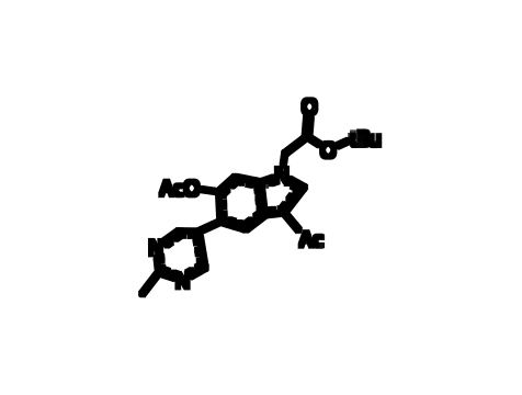 CC(=O)Oc1cc2c(cc1-c1cnc(C)nc1)c(C(C)=O)cn2CC(=O)OC(C)(C)C